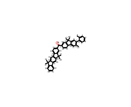 Cc1ccccc1-c1cc2c(cc1C)-c1ccc(C(=O)c3ccc4c(c3)C(C)(C)c3cc5c(cc3-4)C(C)(C)c3ccccc3-5)cc1C2(C)C